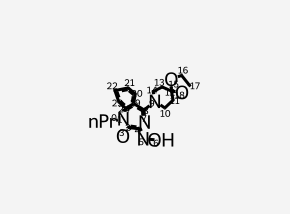 CCCn1c(=O)c(=NO)nc(N2CCC3(CC2)OCCO3)c2ccccc21